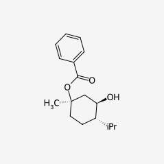 CC(C)[C@@H]1CC[C@@](C)(OC(=O)c2ccccc2)C[C@H]1O